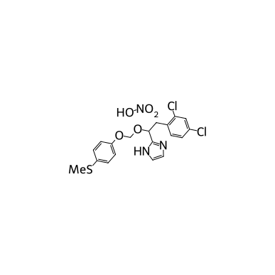 CSc1ccc(OCOC(Cc2ccc(Cl)cc2Cl)c2ncc[nH]2)cc1.O=[N+]([O-])O